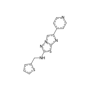 c1csc(CNc2nn3cc(-c4ccncc4)nc3s2)c1